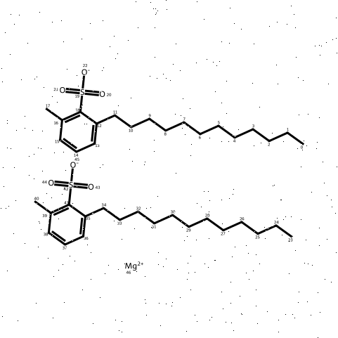 CCCCCCCCCCCCc1cccc(C)c1S(=O)(=O)[O-].CCCCCCCCCCCCc1cccc(C)c1S(=O)(=O)[O-].[Mg+2]